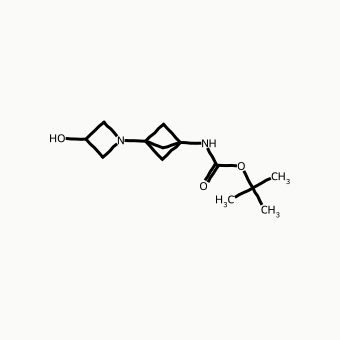 CC(C)(C)OC(=O)NC12CC(N3CC(O)C3)(C1)C2